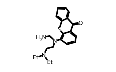 CCN(CC)CCN(CN)c1cccc2c(=O)c3ccccc3sc12